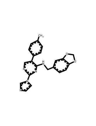 Cc1ccc(-c2cnc(-n3ccnc3)nc2NCc2ccc3c(c2)OCO3)cc1